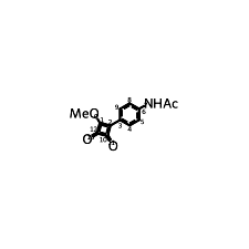 COc1c(-c2ccc(NC(C)=O)cc2)c(=O)c1=O